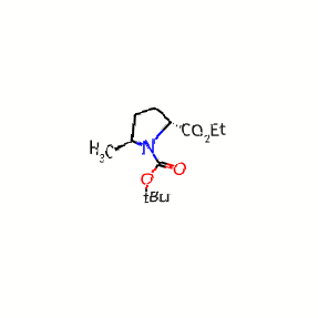 CCOC(=O)[C@H]1CC[C@H](C)N1C(=O)OC(C)(C)C